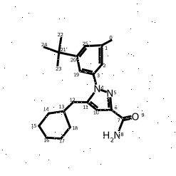 Cc1cc(-n2nc(C(N)=O)cc2CC2CCCCC2)cc(C(C)(C)C)c1